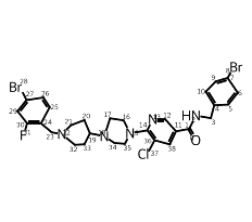 O=C(NCc1ccc(Br)cc1)c1cnc(N2CCN(C3CCN(Cc4ccc(Br)cc4F)CC3)CC2)c(Cl)c1